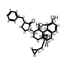 O=C1C(Cc2ccccc2)CCN1[C@@H]1CC[C@@]2(O)[C@H]3Cc4ccc(O)c5c4[C@@]2(CCN3CC2CC2)[C@H]1O5